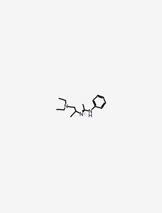 CCN(CC)CC(C)/N=C(\C)Nc1ccccc1